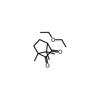 CC12CCC(C(=O)C1=O)C2(C)C.CCOCC